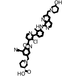 Cc1c(Nc2nccc3cc(CN4CCCC(O)C4)cnc23)cccc1-c1nccc(-c2nc3cc(CN4CCC[C@@H](C(=O)O)C4)cc(C#N)c3o2)c1Cl